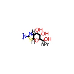 CCC[C@@H](O)[C@H]1O[C@@H]2SC(N(C)C)=N[C@@H]2[C@@H](O)[C@@H]1O